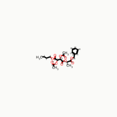 CCCCOC(=O)[C@H](OC(C)=O)[C@@H](OC(C)=O)C(=O)O[C@@H](C)C(=O)OCc1ccccc1